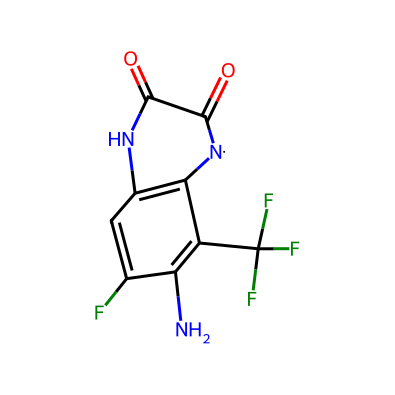 Nc1c(F)cc2c(c1C(F)(F)F)[N]C(=O)C(=O)N2